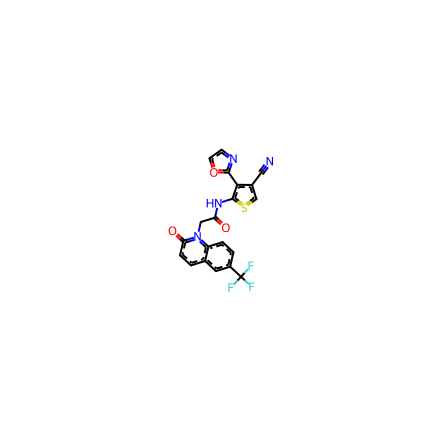 N#Cc1csc(NC(=O)Cn2c(=O)ccc3cc(C(F)(F)F)ccc32)c1-c1ncco1